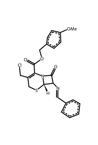 COc1ccc(COC(=O)C2=C(CCl)CS[C@H]3C(N=Cc4ccccc4)C(=O)N23)cc1